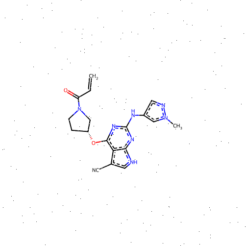 C=CC(=O)N1CC[C@@H](Oc2nc(Nc3cnn(C)c3)nc3[nH]cc(C#N)c23)C1